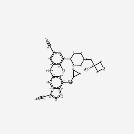 CC1(CN2CCC(c3cc(C#N)cc(Nc4nc(NC5CC5)c5ncc(C#N)n5n4)c3Cl)CC2)COC1